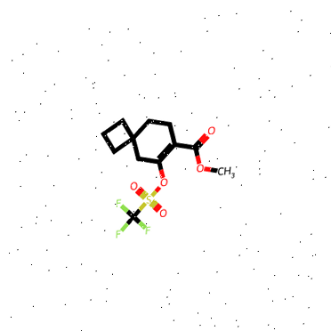 COC(=O)C1=C(OS(=O)(=O)C(F)(F)F)CC2(CCC2)CC1